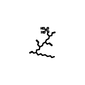 C=CCC(CCCCCCCC)CCC(CC=C)CCC(CC=C)CCC(CC=C)COP(=O)(O)O